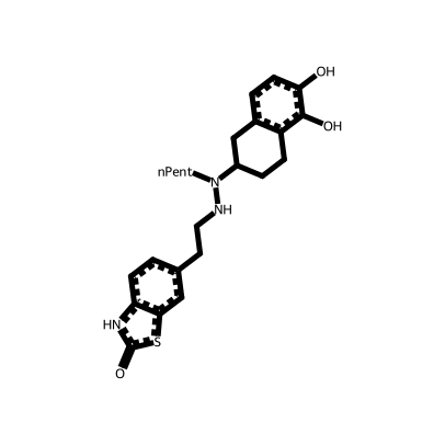 CCCCCN(NCCc1ccc2[nH]c(=O)sc2c1)C1CCc2c(ccc(O)c2O)C1